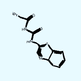 CC(C)C(=O)NC(=S)Nc1nc2ccccc2s1